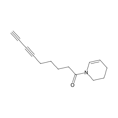 C#CC#CCCCCC(=O)N1C=CCCC1